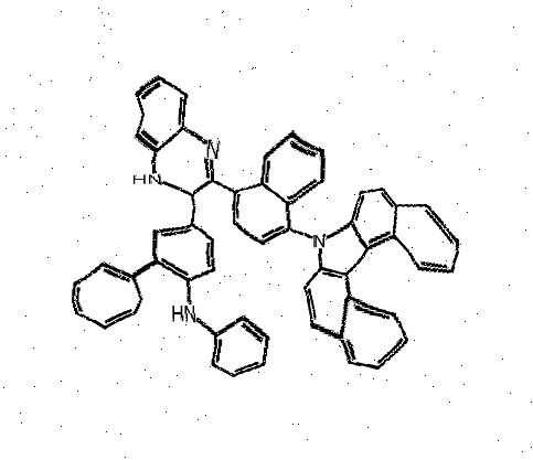 c1ccc(Nc2ccc(C3Nc4ccccc4N=C3c3ccc(-n4c5ccc6ccccc6c5c5c6ccccc6ccc54)c4ccccc34)cc2-c2ccccc2)cc1